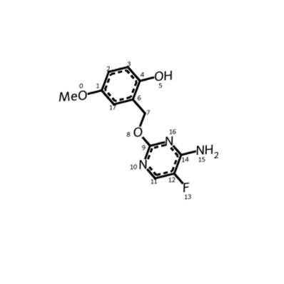 COc1ccc(O)c(COc2ncc(F)c(N)n2)c1